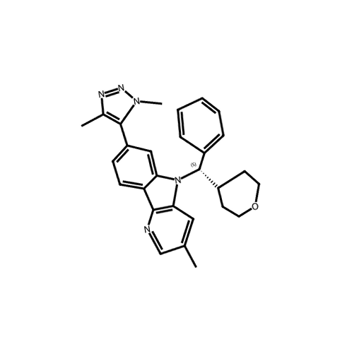 Cc1cnc2c3ccc(-c4c(C)nnn4C)cc3n([C@H](c3ccccc3)C3CCOCC3)c2c1